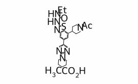 CCNC(=O)Nc1nc2cc(-c3cnc(N4CCC(C)(C(=O)O)CC4)nc3)cc(C3CCN(C(C)=O)CC3)c2s1